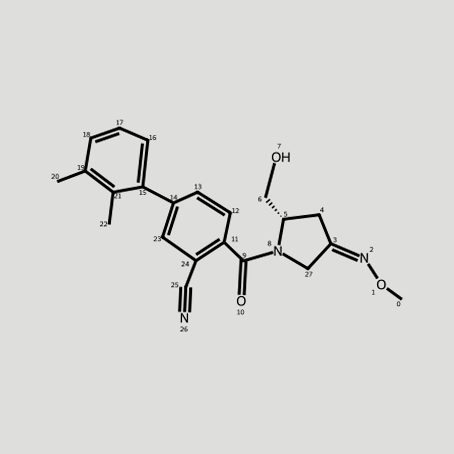 CO/N=C1/C[C@@H](CO)N(C(=O)c2ccc(-c3cccc(C)c3C)cc2C#N)C1